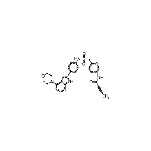 CC#CC(=O)Nc1ccc(CS(=O)(=O)Nc2ccc(-c3cc4c(N5CCOCC5)ncnc4[nH]3)cc2)nc1